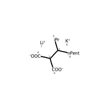 CCCCCC(C(C)C)C(C(=O)[O-])C(=O)[O-].[K+].[Li+]